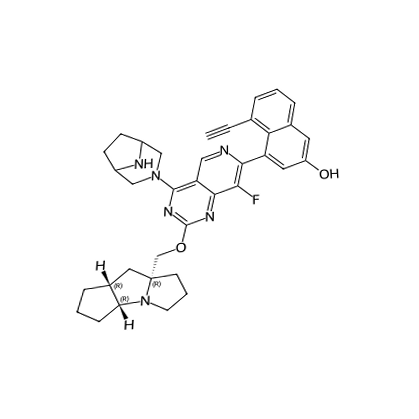 C#Cc1cccc2cc(O)cc(-c3ncc4c(N5CC6CCC(C5)N6)nc(OC[C@]56CCCN5[C@@H]5CCC[C@@H]5C6)nc4c3F)c12